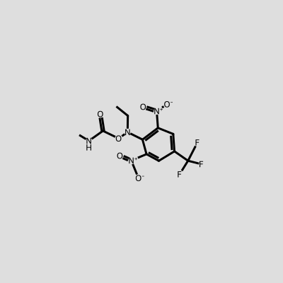 CCN(OC(=O)NC)c1c([N+](=O)[O-])cc(C(F)(F)F)cc1[N+](=O)[O-]